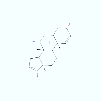 C[C@]12C=C[C@H](O)CC1C[C@H](N)[C@@H]1[C@@H]2CC[C@]2(C)C(O)=CC[C@@H]12